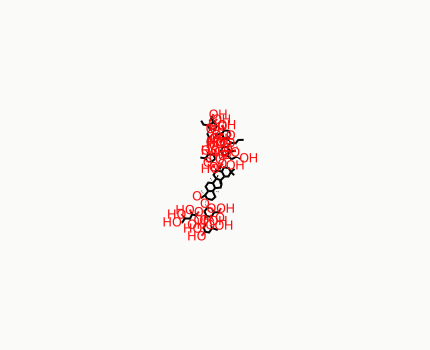 CC[C@H](C)[C@H](C[C@H](O)CC(=O)O[C@@H]1C(C)O[C@@H](OC(=O)[C@]23CCC(C)(C)CC2C2=CCC4[C@@]5(C)CC[C@H](O[C@@H]6OC(C(=O)O)[C@@H](O)C(O[C@@H]7OC(CO)CC(O)C7O)C6O[C@@H](O)C(O)[C@@H](O)C(O)CO)[C@@](C)(C=O)C5CC[C@@]4(C)[C@]2(C)C[C@H]3O)C(O[C@@H]2OC(C)[C@H](O[C@H]3OCC(O)[C@H](O[C@@H]4OCC(O)(CO)C4O)C3O)C(O)C2O)C1O)OC(=O)C[C@@H](O)C[C@H](O[C@@H]1O[C@@H](CO)C(O)C1O)[C@@H](C)CC